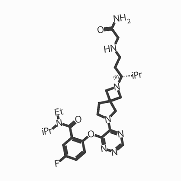 CCN(C(=O)c1cc(F)ccc1Oc1nncnc1N1CCC2(C1)CN([C@H](CCNCC(N)=O)C(C)C)C2)C(C)C